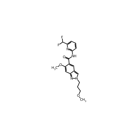 COCCCn1cc2cc(C(=O)Nc3cccc(C(F)F)n3)c(OC)cc2n1